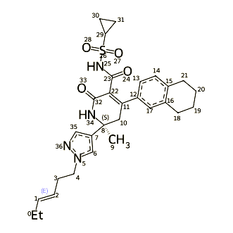 CC/C=C/CCn1cc([C@]2(C)CC(c3ccc4c(c3)CCCC4)=C(C(=O)NS(=O)(=O)C3CC3)C(=O)N2)cn1